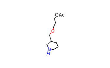 CC(=O)OCCCOCC1CCCNC1